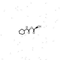 C#CC(=O)OC(=O)NC1CCCCC1